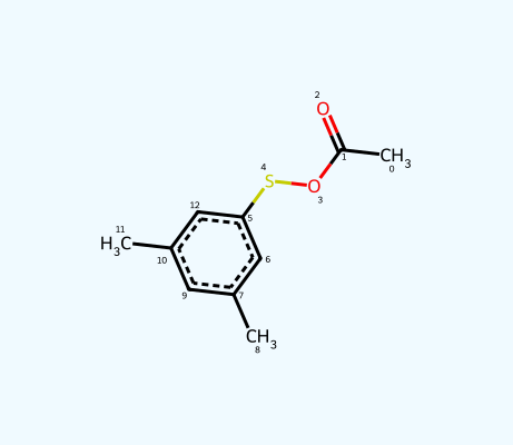 CC(=O)OSc1cc(C)cc(C)c1